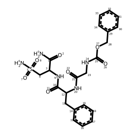 NC(=O)C(CS(N)(=O)=O)NC(=O)C(Cc1ccccc1)NC(=O)CNC(=O)OCc1ccccc1